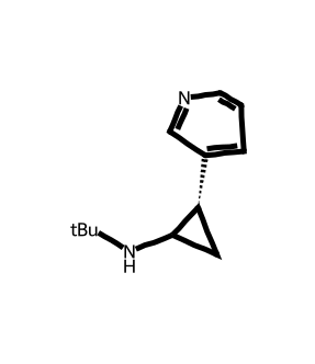 CC(C)(C)NC1C[C@H]1c1cccnc1